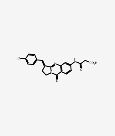 O=C(O)CC(=O)Nc1ccc2c(=O)n3c(nc2c1)C(=Cc1ccc(Cl)cc1)CC3